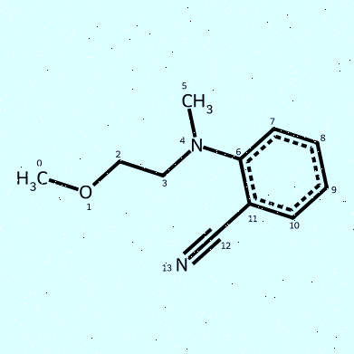 COCCN(C)c1ccccc1C#N